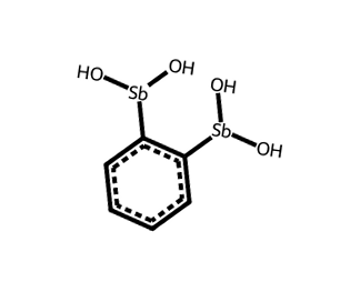 [OH][Sb]([OH])[c]1cccc[c]1[Sb]([OH])[OH]